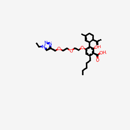 C=C(C)C1CCC(C)=CC1c1c(OCCOCCOCc2cn(CC)nn2)cc(CCCCC)c(C(=O)O)c1O